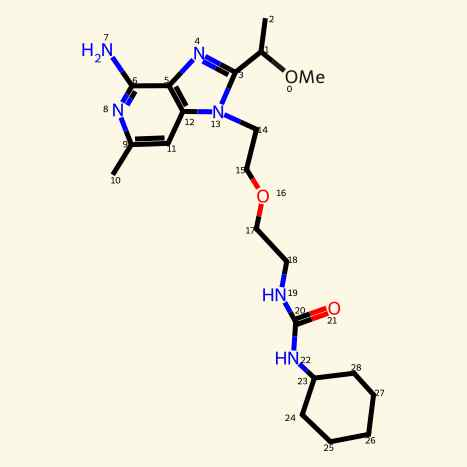 COC(C)c1nc2c(N)nc(C)cc2n1CCOCCNC(=O)NC1CCCCC1